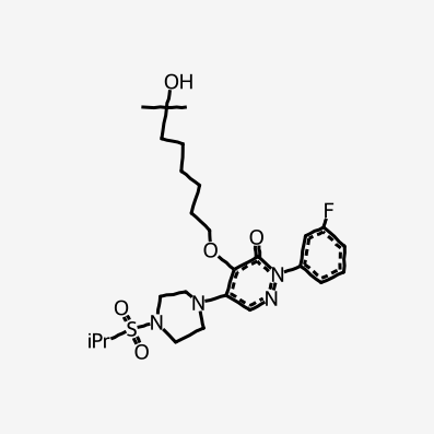 CC(C)S(=O)(=O)N1CCN(c2cnn(-c3cccc(F)c3)c(=O)c2OCCCCCCC(C)(C)O)CC1